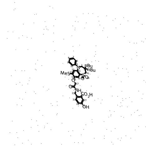 CCCCC1(CCCC)CN(c2ccccc2)c2cc(SC)c(OCC(=O)NCc3ccc(O)cc3C(=O)O)cc2S(=O)(=O)C1